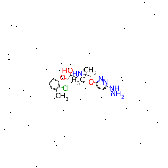 Cc1cccc(OCC(O)CNC(C)(C)COc2ccc(NN)nn2)c1Cl